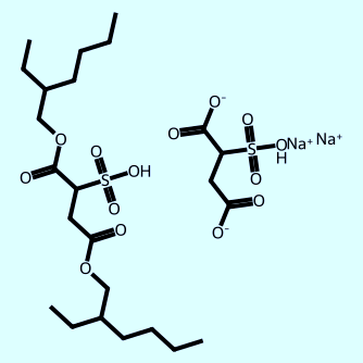 CCCCC(CC)COC(=O)CC(C(=O)OCC(CC)CCCC)S(=O)(=O)O.O=C([O-])CC(C(=O)[O-])S(=O)(=O)O.[Na+].[Na+]